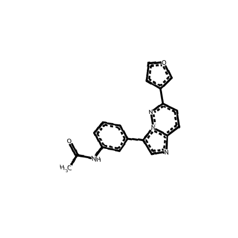 CC(=O)Nc1cccc(-c2cnc3ccc(-c4ccoc4)nn23)c1